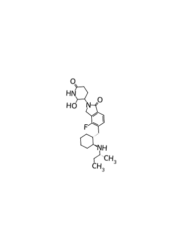 CC[C@@H](C)N[C@H]1CCCC[C@@H]1Cc1ccc2c(c1F)CN(C1CCC(=O)NC1O)C2=O